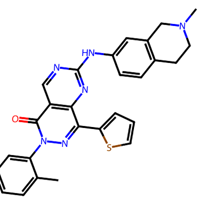 Cc1ccccc1-n1nc(-c2cccs2)c2nc(Nc3ccc4c(c3)CN(C)CC4)ncc2c1=O